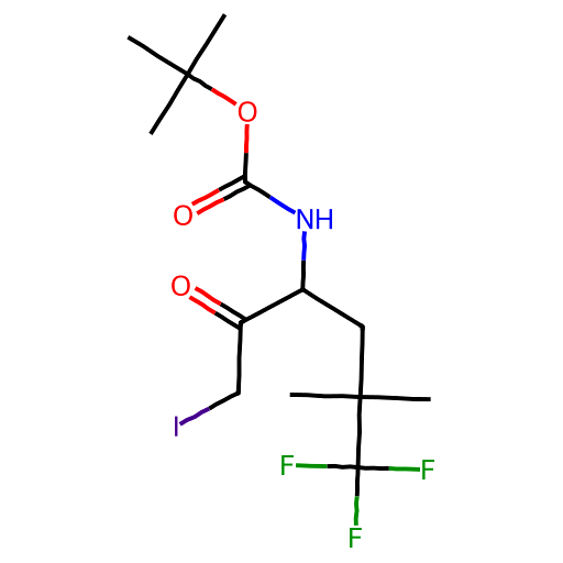 CC(C)(C)OC(=O)NC(CC(C)(C)C(F)(F)F)C(=O)CI